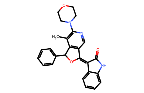 Cc1c(N2CCOCC2)ncc2c1C(c1ccccc1)O/C2=C1/C(=O)Nc2ccccc21